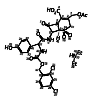 CC(=O)OCC1=C(C(=O)O)N2C(=O)[C@H](NC(=O)C(NC(=O)OCc3ccc(Cl)cc3Cl)c3ccc(O)cc3)[C@@H]2S(=O)(=O)C1.CCNCC